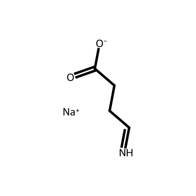 N=CCCC(=O)[O-].[Na+]